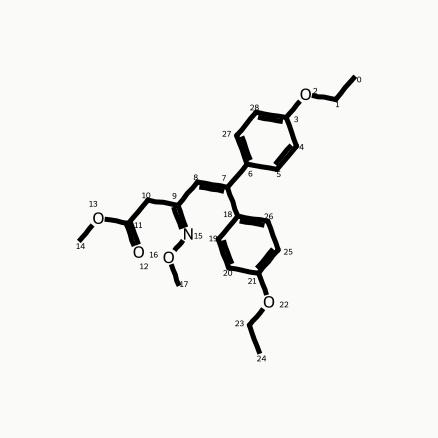 CCOc1ccc(C(=CC(CC(=O)OC)=NOC)c2ccc(OCC)cc2)cc1